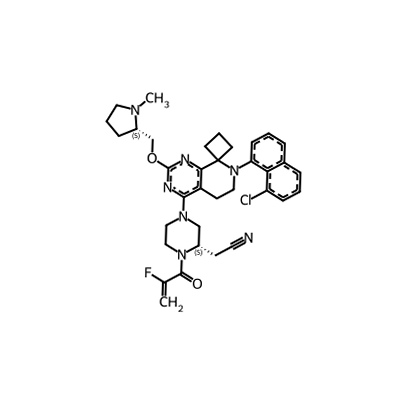 C=C(F)C(=O)N1CCN(c2nc(OC[C@@H]3CCCN3C)nc3c2CCN(c2cccc4cccc(Cl)c24)C32CCC2)C[C@@H]1CC#N